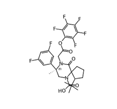 CC(C)(C)C1CCCC12C(=O)N(CC(=O)Oc1c(F)c(F)c(F)c(F)c1F)[C@](C)(c1cc(F)cc(F)c1)CN2C(=O)O